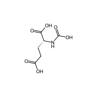 O=C(O)CC[C@@H](NC(=O)O)C(=O)O